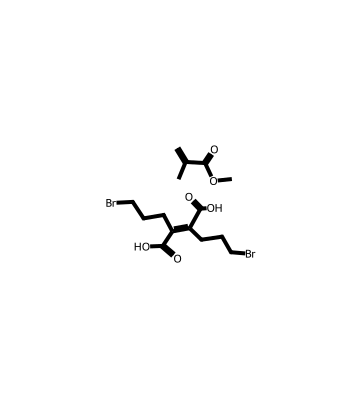 C=C(C)C(=O)OC.O=C(O)/C(CCCBr)=C(\CCCBr)C(=O)O